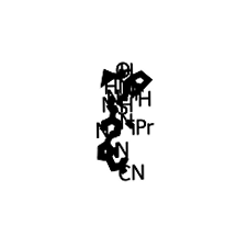 CC(C)Nc1cc(-c2ccc3cc(C#N)cnn23)ncc1-c1nnc(N2C[C@H]3CC[C@@H](C2)[C@H]3NC(=O)C2CC2)s1